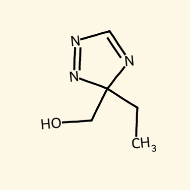 CCC1(CO)N=CN=N1